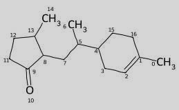 CC1=CCC(C(C)CC2C(=O)CCC2C)CC1